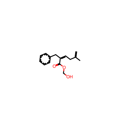 C=C(C)CC=C(Cc1ccccc1)C(=O)OCO